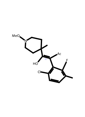 CON1CCC(C)(/C(O)=C(\C(C)=O)c2c(Cl)ccc(C)c2F)CC1